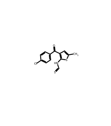 Cc1cc(C(=O)c2ccc(Cl)cc2)c(NC=S)s1